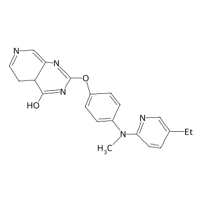 CCc1ccc(N(C)c2ccc(OC3=NC4=CN=CCC4C(O)=N3)cc2)nc1